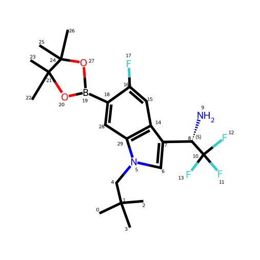 CC(C)(C)Cn1cc([C@H](N)C(F)(F)F)c2cc(F)c(B3OC(C)(C)C(C)(C)O3)cc21